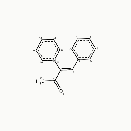 CC(=O)C(=Cc1ccccc1)[n+]1ccccc1